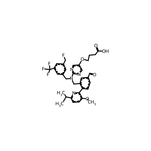 COc1ccc(C(C)C)nc1-c1ccc(C=O)cc1CN(Cc1cc(CF)cc(C(F)(F)F)c1)c1ncc(OCCCC(=O)O)cn1